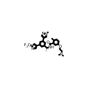 Cc1ccc(OCCN(C)C)cc1C(=O)N[C@H](C)c1cc(-c2cnn(C)c2)cc(-c2cnn(C(F)(F)F)c2)c1